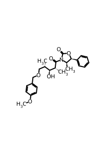 COc1ccc(COC[C@H](C)[C@H](O)[C@@H](C)C(=O)N2C(=O)O[C@@H](c3ccccc3)[C@H]2C)cc1